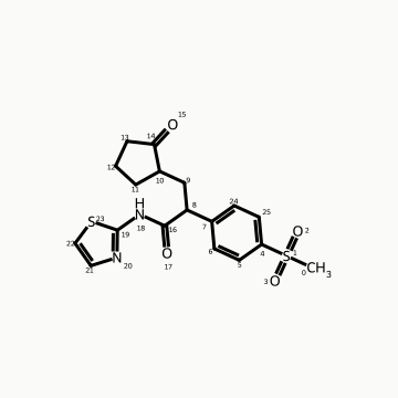 CS(=O)(=O)c1ccc(C(CC2CCCC2=O)C(=O)Nc2nccs2)cc1